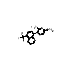 Nc1ccc(-c2ccc(C(F)(F)F)c3cccnc23)c(N)n1